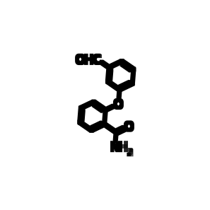 NC(=O)c1ccccc1Oc1cccc(C=O)c1